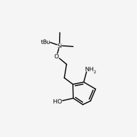 CC(C)(C)[Si](C)(C)OCCc1c(N)cccc1O